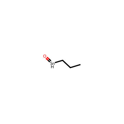 CC[CH2][SnH]=[O]